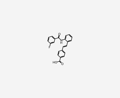 O=C(O)c1ccc(C=Cc2ccccc2NC(=O)c2cccc(F)c2)cc1